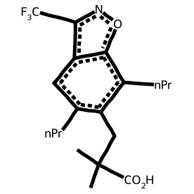 CCCc1cc2c(C(F)(F)F)noc2c(CCC)c1CC(C)(C)C(=O)O